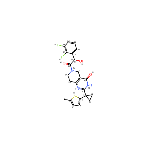 Cc1ccc(C2(c3nc4c(c(=O)[nH]3)CN(C(=O)[C@H](O)c3cccc(F)c3F)CC4)CC2)s1